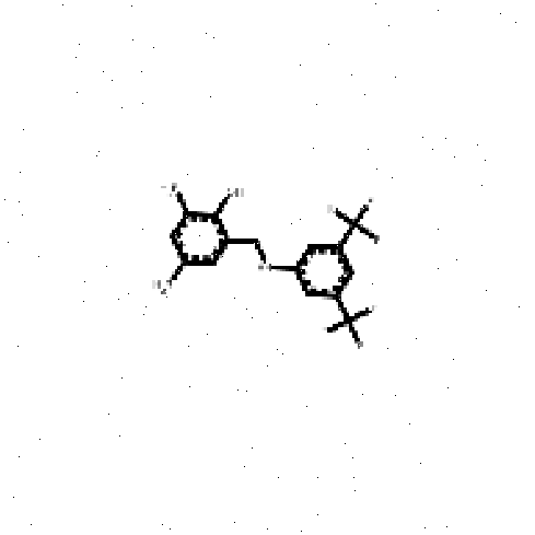 Bc1cc(B)c(O)c(CNc2cc(C(F)(F)F)cc(C(F)(F)F)c2)c1